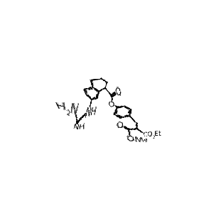 CCOC(=O)C(Cc1ccc(OC(=O)C2CCCc3ccc(NC(=N)N)cc32)cc1)C(=O)OC